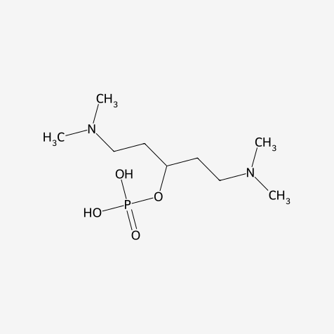 CN(C)CCC(CCN(C)C)OP(=O)(O)O